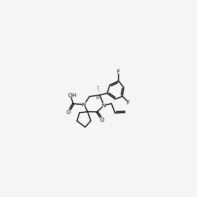 C=CCN1C(=O)C2(CCCC2)N(C(=O)O)C[C@@]1(C)c1cc(F)cc(F)c1